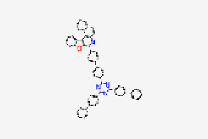 c1ccc(-c2ccc(-c3nc(-c4ccc(-c5ccccc5)cc4)nc(-c4ccc(-c5ccc(-c6nc7ccc8ccccc8c7c7c6oc6ccccc67)cc5)cc4)n3)cc2)cc1